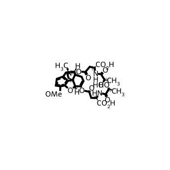 COc1ccc2c3c1O[C@H]1C(OC(=O)C[C@H](NC(=O)[C@H](C)O)C(=O)O)=CC[C@@]4(OC(=O)C[C@H](NC(=O)[C@H](C)O)C(=O)O)[C@@H](C2)N(C)CC[C@]314